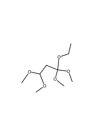 CCOC(CC(OC)OC)(OC)OC